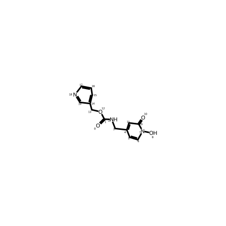 O=C(NCc1ccn(O)c(=O)c1)OCc1cccnc1